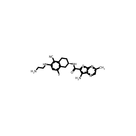 Cc1cnc2c(N)c(C(=O)N[C@@H]3CCc4c(C#N)c(NCCN)cc(F)c4C3)sc2n1